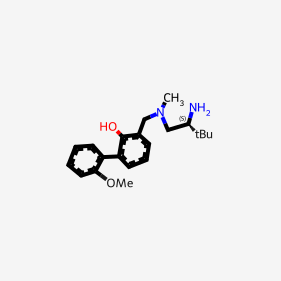 COc1ccccc1-c1cccc(CN(C)C[C@@H](N)C(C)(C)C)c1O